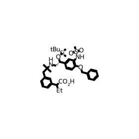 CCC(C(=O)O)c1cccc(CC(C)(C)NC[C@H](O[Si](C)(C)C(C)(C)C)c2ccc(OCc3ccccc3)c(NS(C)(=O)=O)c2)c1